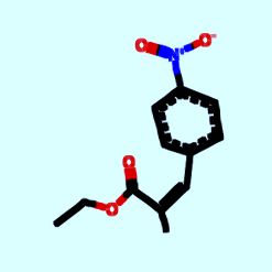 CCOC(=O)C(C)=Cc1ccc([N+](=O)[O-])cc1